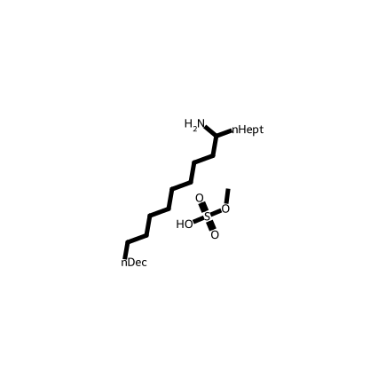 CCCCCCCCCCCCCCCCCCC(N)CCCCCCC.COS(=O)(=O)O